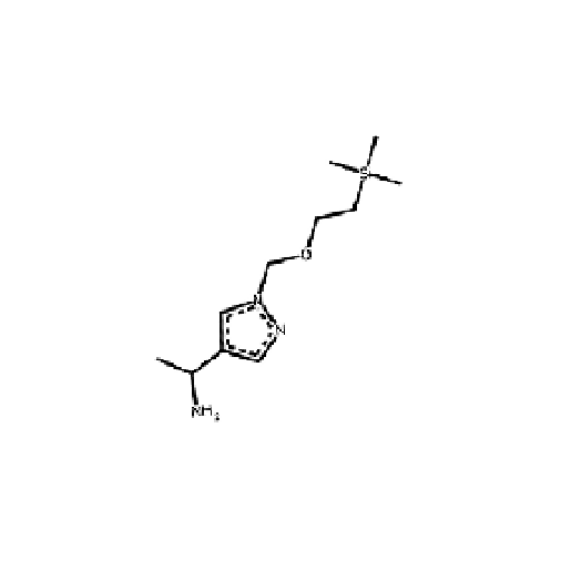 CC(N)c1cnn(COCC[Si](C)(C)C)c1